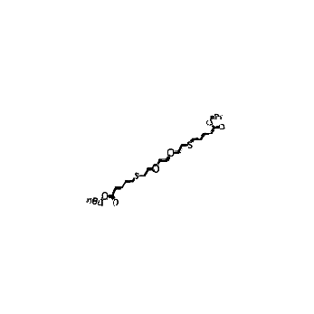 CCCCOC(=O)CCCCSCCOCCOCCSCCCCC(=O)OCCC